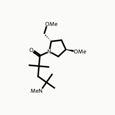 CNC(C)(C)CC(C)(C)C(=O)N1C[C@H](OC)C[C@H]1COC